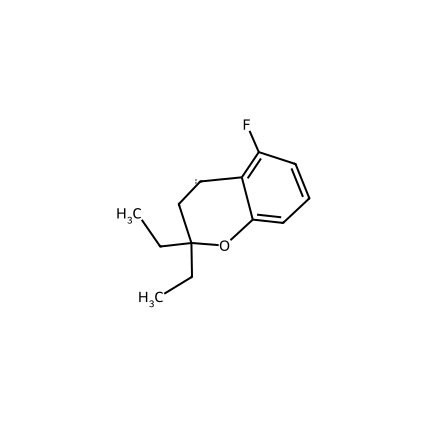 CCC1(CC)C[C]c2c(F)cccc2O1